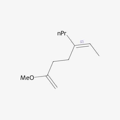 C=C(CC/C(=C\C)CCC)OC